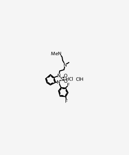 CNCCN(C)CCN1c2ccccc2N(c2ccc(F)cc2F)S1(=O)=O.Cl.Cl